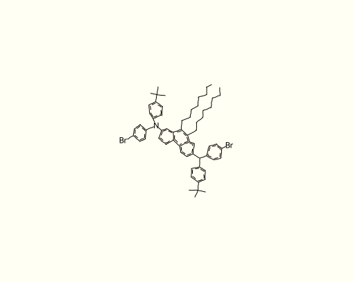 CCCCCCCCc1c(CCCCCCCC)c2cc(N(c3ccc(Br)cc3)c3ccc(C(C)(C)C)cc3)ccc2c2ccc(C(c3ccc(Br)cc3)c3ccc(C(C)(C)C)cc3)cc12